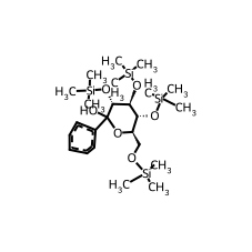 C[Si](C)(C)OC[C@H]1OC(O)(c2ccccc2)[C@H](O[Si](C)(C)C)[C@@H](O[Si](C)(C)C)[C@@H]1O[Si](C)(C)C